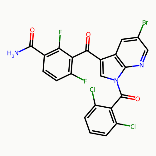 NC(=O)c1ccc(F)c(C(=O)c2cn(C(=O)c3c(Cl)cccc3Cl)c3ncc(Br)cc23)c1F